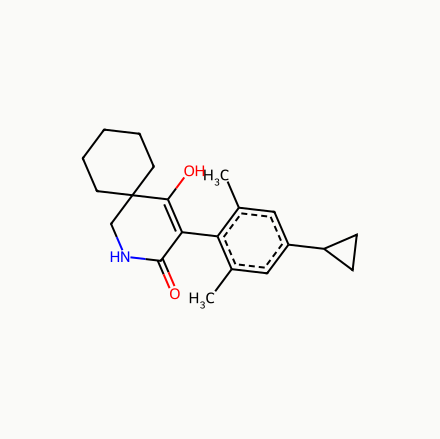 Cc1cc(C2CC2)cc(C)c1C1=C(O)C2(CCCCC2)CNC1=O